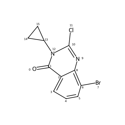 O=c1c2cccc(Br)c2nc(Cl)n1C1CC1